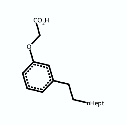 CCCCCCCCCc1cccc(OCC(=O)O)c1